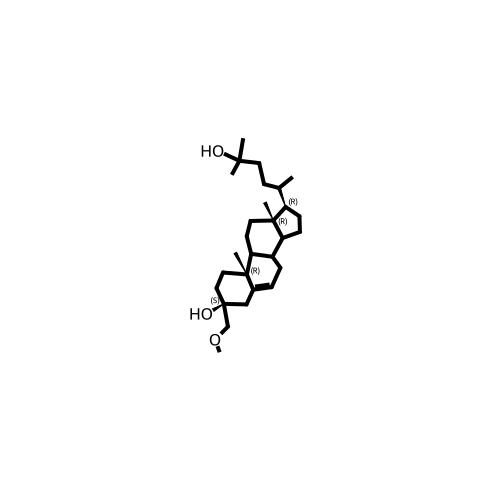 COC[C@]1(O)CC[C@@]2(C)C(=CCC3C2CC[C@@]2(C)C3CC[C@@H]2C(C)CCC(C)(C)O)C1